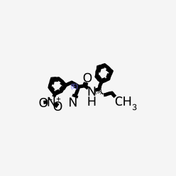 CCC[C@H](NC(=O)/C(C#N)=C/c1cccc([N+](=O)[O-])c1)c1ccccc1